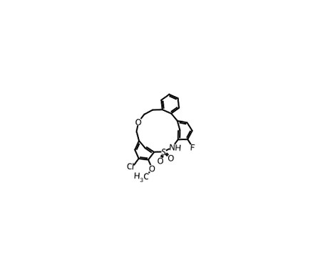 COc1c(Cl)cc2cc1S(=O)(=O)Nc1cc(ccc1F)-c1ccccc1CCOC2